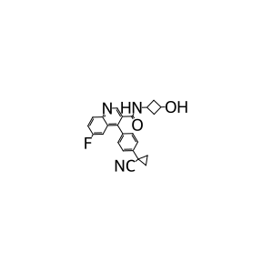 N#CC1(c2ccc(-c3c(C(=O)NC4CC(O)C4)cnc4ccc(F)cc34)cc2)CC1